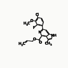 C=CCOC(=O)c1nc(-c2ccc(Cl)c(OC)c2F)cc2[nH]cc(C)c12